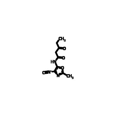 [C-]#[N+]c1nc(C)oc1NC(=O)CC(=O)CC